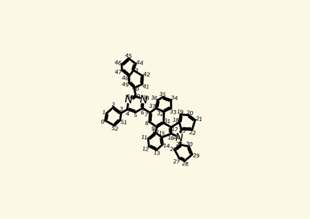 c1ccc(-c2cc(-c3cc4c5ccccc5c5c(c6ccccc6n5-c5ccccc5)c4c4ccccc34)nc(-c3ccc4ccccc4c3)n2)cc1